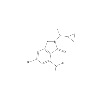 CC(C1CC1)N1Cc2cc(Br)cc([S+](C)[O-])c2C1=O